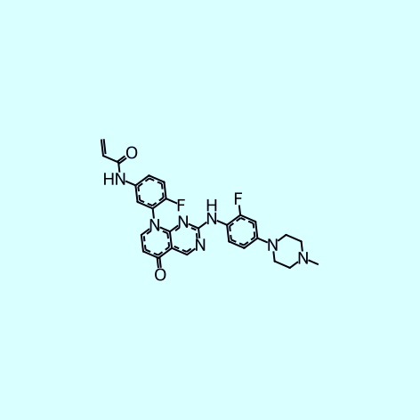 C=CC(=O)Nc1ccc(F)c(-n2ccc(=O)c3cnc(Nc4ccc(N5CCN(C)CC5)cc4F)nc32)c1